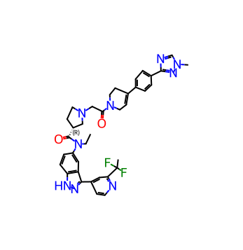 CCN(C(=O)[C@@H]1CCN(CC(=O)N2CC=C(c3ccc(-c4ncn(C)n4)cc3)CC2)C1)c1ccc2[nH]nc(-c3ccnc(C(C)(F)F)c3)c2c1